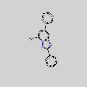 Nc1cc(-c2ccccc2)cc2nc(-c3ccccc3)nn12